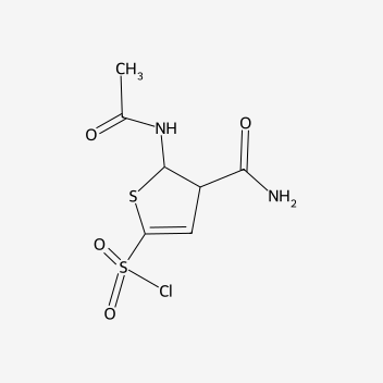 CC(=O)NC1SC(S(=O)(=O)Cl)=CC1C(N)=O